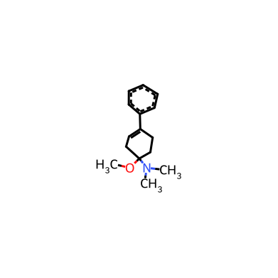 COC1(N(C)C)CC=C(c2ccccc2)CC1